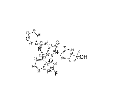 CC(C)(O)c1ccc(N2Cc3c(cc([C@H]4CCCOC4)nc3-c3ccccc3OCC(F)F)C2=O)cc1